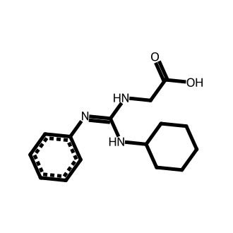 O=C(O)CNC(=Nc1ccccc1)NC1CCCCC1